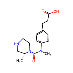 C[C@@H]1CNCCN1C(=O)N(C)c1ccc(CCC(=O)O)cc1